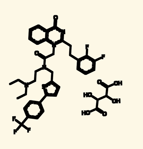 CCN(CC)CCN(Cc1ccc(-c2ccc(C(F)(F)F)cc2)s1)C(=O)Cn1c(CCc2cccc(F)c2F)nc(=O)c2ccccc21.O=C(O)C(O)C(O)C(=O)O